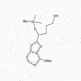 COc1cccc2cc(C(CCCO)O[Si](C)(C)C(C)(C)C)oc12